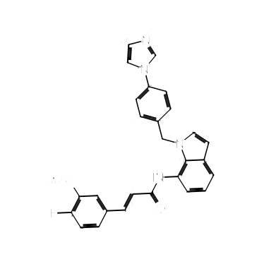 CC(=O)Oc1cc(/C=C/C(=O)Nc2cccc3ccn(Cc4ccc(-n5ccnc5)cc4)c23)ccc1F